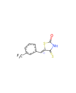 O=C1NC(=S)/C(=C/c2cccc(C(F)(F)F)c2)S1